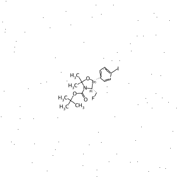 CC(C)(C)OC(=O)N1[C@@H](CF)[C@@H](c2ccc(I)cc2)OC1(C)C